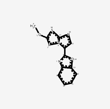 COc1nn2c(-c3nc4ccccc4o3)cnc2s1